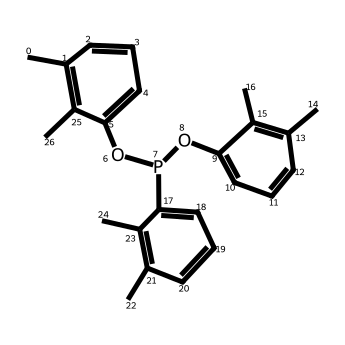 Cc1cccc(OP(Oc2cccc(C)c2C)c2cccc(C)c2C)c1C